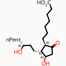 CCCCC[C@@H](O)CC[C@H]1[C@H](O)CC(=O)[C@@H]1CCCCCCC(=O)O